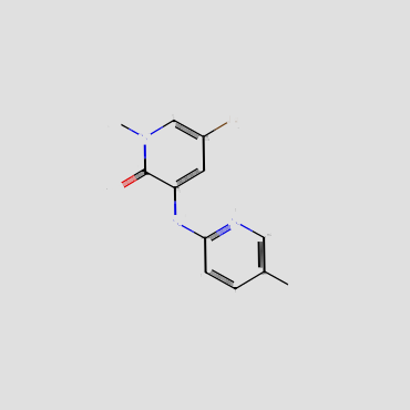 Cc1ccc(Nc2cc(Br)cn(C)c2=O)nc1